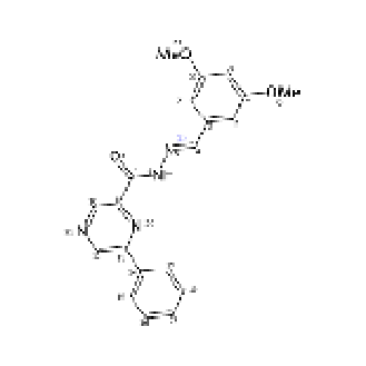 COc1cc(/C=N/NC(=O)c2cncc(-c3ccccc3)n2)cc(OC)c1